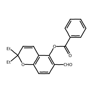 CCC1(CC)C=Cc2c(ccc(C=O)c2OC(=O)c2ccccc2)O1